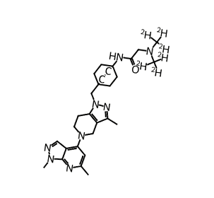 [2H]C([2H])([2H])N(CC(=O)NC12CCC(Cn3nc(C)c4c3CCN(c3cc(C)nc5c3cnn5C)C4)(CC1)CC2)C([2H])([2H])[2H]